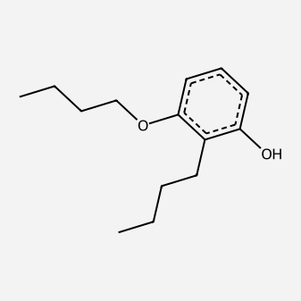 CCCCOc1cccc(O)c1CCCC